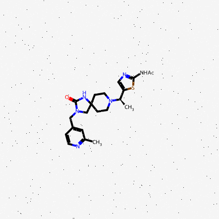 CC(=O)Nc1ncc([C@@H](C)N2CCC3(CC2)CN(Cc2ccnc(C)c2)C(=O)N3)s1